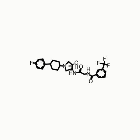 O=C(CNC(=O)c1cccc(C(F)(F)F)c1)N[C@H]1CN(C2CCC(c3ccc(F)cc3)CC2)C[C@H]1O